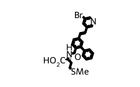 CSCC[C@H](NC(=O)c1ccc(C=Cc2cncc(Br)c2)cc1-c1ccccc1)C(=O)O